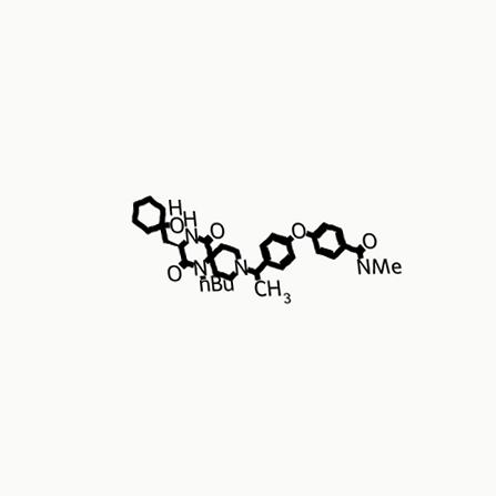 CCCCN1C(=O)[C@@H](CC2(O)CCCCC2)NC(=O)C12CCN(C(C)c1ccc(Oc3ccc(C(=O)NC)cc3)cc1)CC2